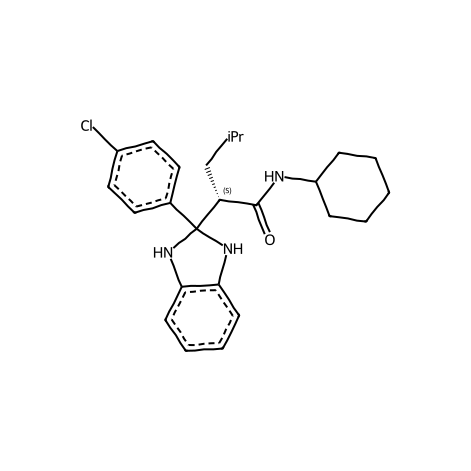 CC(C)C[C@H](C(=O)NC1CCCCC1)C1(c2ccc(Cl)cc2)Nc2ccccc2N1